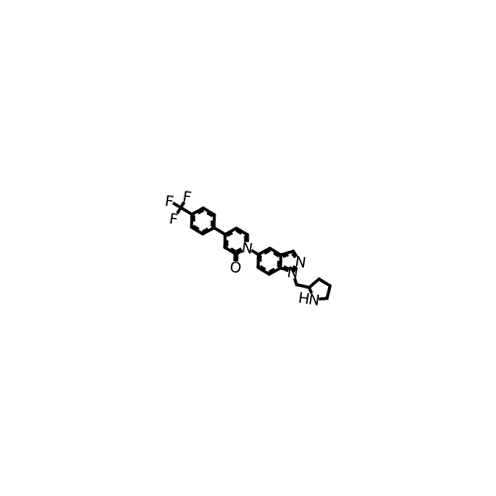 O=c1cc(-c2ccc(C(F)(F)F)cc2)ccn1-c1ccc2c(cnn2CC2CCCN2)c1